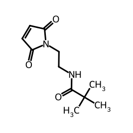 CC(C)(C)C(=O)NCCN1C(=O)C=CC1=O